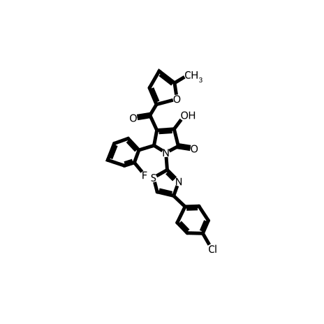 Cc1ccc(C(=O)C2=C(O)C(=O)N(c3nc(-c4ccc(Cl)cc4)cs3)C2c2ccccc2F)o1